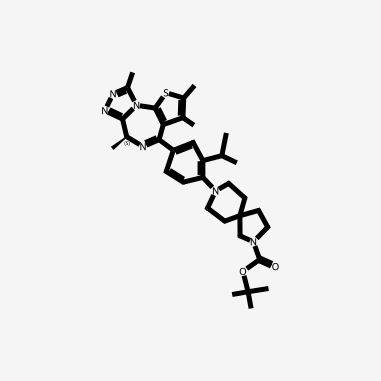 Cc1sc2c(c1C)C(c1ccc(N3CCC4(CCN(C(=O)OC(C)(C)C)C4)CC3)c(C(C)C)c1)=N[C@@H](C)c1nnc(C)n1-2